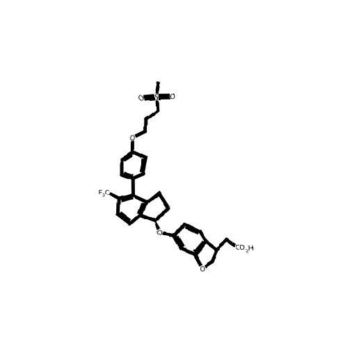 CS(=O)(=O)CCCOc1ccc(-c2c(C(F)(F)F)ccc3c2CC[C@H]3Oc2ccc3c(c2)OCC3CC(=O)O)cc1